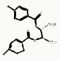 CC1=CC=C(C(=O)O[C@H](C(=O)O)[C@H](OC(=O)c2ccc(C)cc2)C(=O)O)CC1